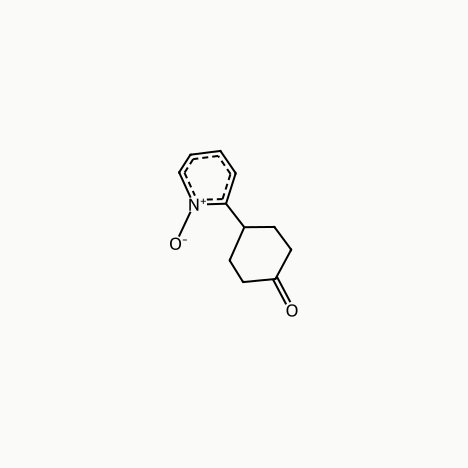 O=C1CCC(c2cccc[n+]2[O-])CC1